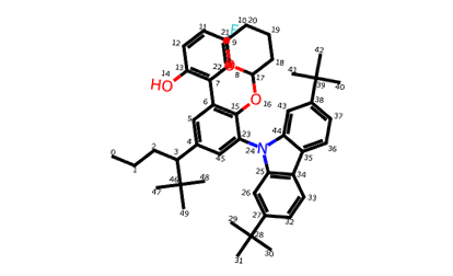 CCCC(c1cc(-c2cc(F)ccc2O)c(OC2CCCCO2)c(-n2c3cc(C(C)(C)C)ccc3c3ccc(C(C)(C)C)cc32)c1)C(C)(C)C